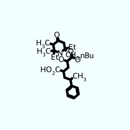 CCCCOC(=O)C(CC(CC(C)c1ccccc1)C(=O)O)ON1C(C)(CC)CC(=O)C(C)C1(C)CC